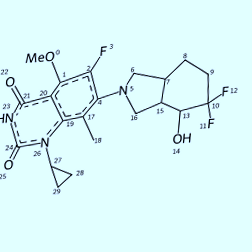 COc1c(F)c(N2CC3CCC(F)(F)C(O)C3C2)c(C)c2c1c(=O)[nH]c(=O)n2C1CC1